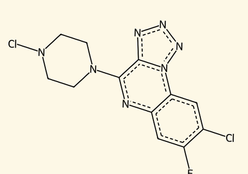 Fc1cc2nc(N3CCN(Cl)CC3)c3nnnn3c2cc1Cl